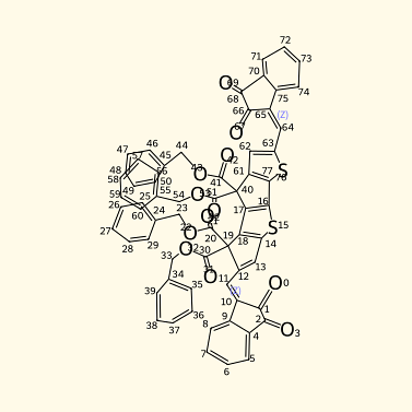 O=C1C(=O)c2ccccc2/C1=C/C1=Cc2sc3c(c2C1(C(=O)OCc1ccccc1)C(=O)OCc1ccccc1)C(C(=O)OCc1ccccc1)(C(=O)OCc1ccccc1)c1cc(/C=C2\C(=O)C(=O)c4ccccc42)sc1-3